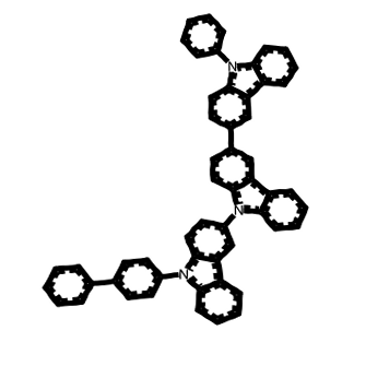 c1ccc(-c2ccc(-n3c4ccccc4c4cc(-n5c6ccccc6c6cc(-c7ccc8c(c7)c7ccccc7n8-c7ccccc7)ccc65)ccc43)cc2)cc1